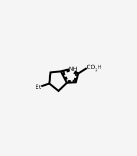 CCC1Cc2cc(C(=O)O)[nH]c2C1